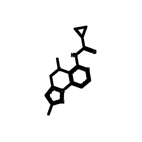 Cc1cc2n(n1)-c1ccnc(NC(=O)C3CC3)c1N(C)C2